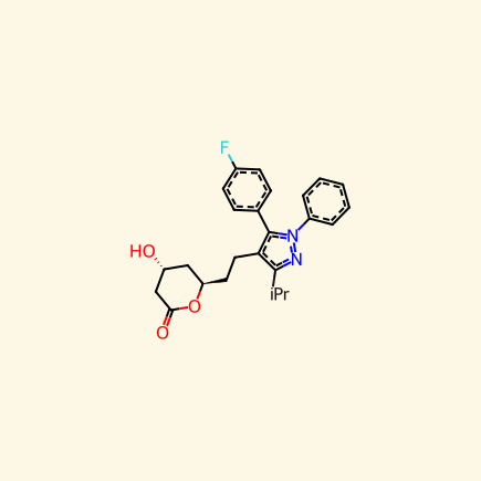 CC(C)c1nn(-c2ccccc2)c(-c2ccc(F)cc2)c1CC[C@@H]1C[C@@H](O)CC(=O)O1